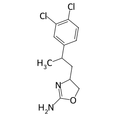 CC(CC1COC(N)=N1)c1ccc(Cl)c(Cl)c1